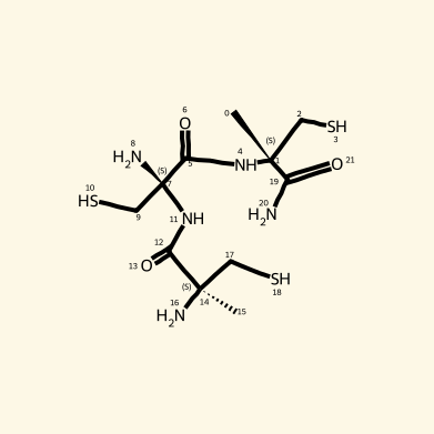 C[C@](CS)(NC(=O)[C@@](N)(CS)NC(=O)[C@](C)(N)CS)C(N)=O